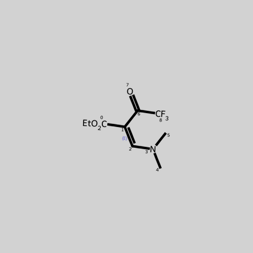 CCOC(=O)/C(=C/N(C)C)C(=O)C(F)(F)F